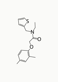 CCN(Cc1cccs1)C(=O)COc1ccc(C)cc1C